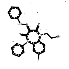 CC(C)CCn1c(=O)/c(=N/Nc2ccccc2)c(=O)n(-c2ccccc2)c2cc(F)ccc21